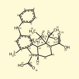 Cc1cc(Nc2ccccc2)cc2c1N(C(=O)O)[C@H]1CCN(C(=O)O)C(C(C)(C)C)(C(C)(C)C)[C@H]21